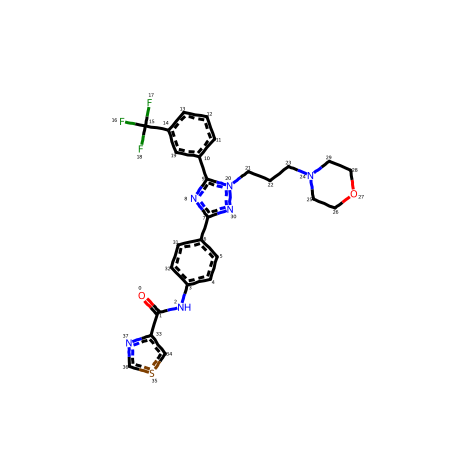 O=C(Nc1ccc(-c2nc(-c3cccc(C(F)(F)F)c3)n(CCCN3CCOCC3)n2)cc1)c1cscn1